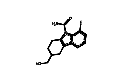 NC(=O)n1c2c(c3cccc(F)c31)C[C](CO)CC2